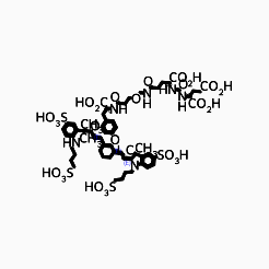 CC(C)(C(=O)/C=C/C1=C(Oc2ccc(C[C@@H](NC(=O)CCOCNC(=O)CC[C@H](NC(=O)N[C@@H](CCC(=O)O)C(=O)O)C(=O)O)C(=O)O)cc2)C(=C/C=C2/N(CCCCS(=O)(=O)O)c3ccc(S(=O)(=O)O)cc3C2(C)C)/CCC1)c1cc(S(=O)(=O)O)ccc1NCCCCS(=O)(=O)O